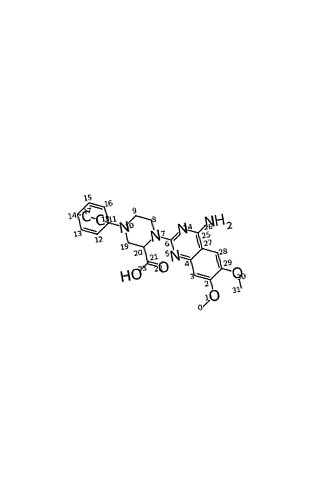 COc1cc2nc(N3CCN(C45C=CC(C=C4)CC5)CC3C(=O)O)nc(N)c2cc1OC